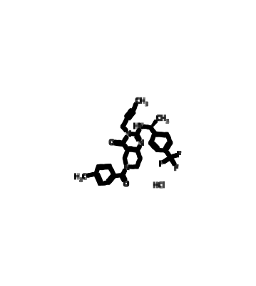 CC#CCn1c(N[C@@H](C)c2ccc(C(F)(F)F)cc2)nc2c(c1=O)CN(C(=O)c1ccc(C)cc1)CC2.Cl